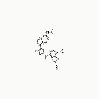 CC(C)NC(=O)O[C@@H]1CC[C@H](c2cc(Nc3ncc(C4CC4)c4nc(C#N)cn34)n[nH]2)[C@@H]1F